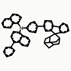 c1ccc(-c2ccc(N(c3ccc(-c4ccc5c(c4)C4(c6ccccc6-5)C5CC6CC(C5)CC4C6)cc3)c3cccc4ccccc34)c3ccccc23)cc1